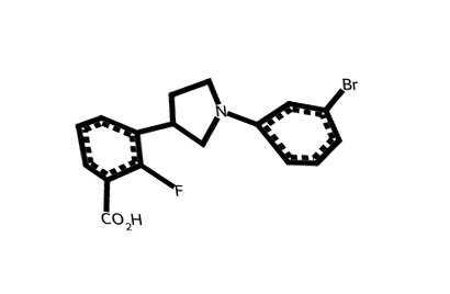 O=C(O)c1cccc(C2CCN(c3cccc(Br)c3)C2)c1F